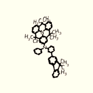 CC1(C)c2ccccc2-c2ccc(-c3cccc(N(c4ccccc4)c4cc5c6c(c4)C(C)(C)c4cccc7c4N6c4c(cccc4C5(C)C)C7(C)C)c3)cc21